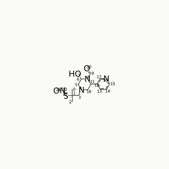 CC(C)(CN1CC(O)N(C=O)C(c2cccnc2)C1)SN=O